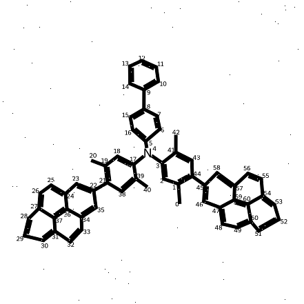 Cc1cc(N(c2ccc(-c3ccccc3)cc2)c2cc(C)c(-c3cc4ccc5cccc6ccc(c3)c4c56)cc2C)c(C)cc1-c1cc2ccc3cccc4ccc(c1)c2c34